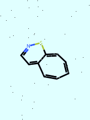 C1=CC=C2SN=CC=C2C=C1